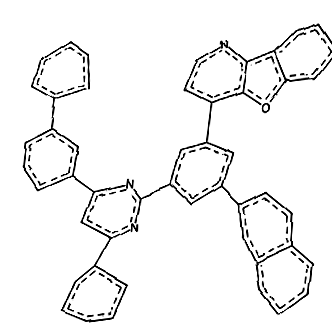 c1ccc(-c2cccc(-c3cc(-c4ccccc4)nc(-c4cc(-c5ccc6ccccc6c5)cc(-c5ccnc6c5oc5ccccc56)c4)n3)c2)cc1